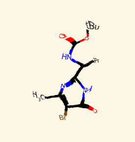 Cc1nc(C(NC(=O)OC(C)(C)C)C(C)C)[nH]c(=O)c1Br